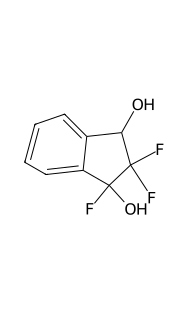 OC1c2ccccc2C(O)(F)C1(F)F